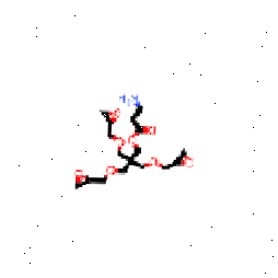 NCCC(=O)OCC(COCC1CO1)(COCC1CO1)COCC1CO1